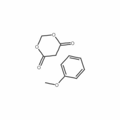 COc1ccccc1.O=C1CC(=O)OCO1